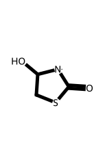 O=C1[N]C(O)CS1